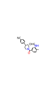 Cc1ccc(C(=O)N2CCC(c3ccc(C#N)cc3)CC2)cc1NC=O